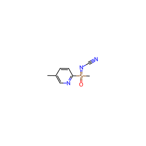 Cc1ccc(S(C)(=O)=NC#N)nc1